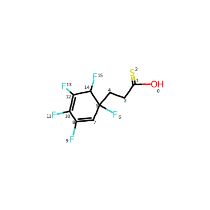 OC(=S)CCC1(F)C=C(F)C(F)=C(F)C1F